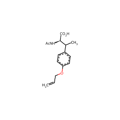 C=CCOc1ccc(C(C)[C@@H](NC(C)=O)C(=O)O)cc1